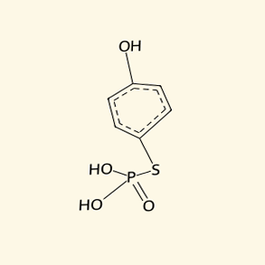 O=P(O)(O)Sc1ccc(O)cc1